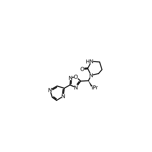 CC(C)[C@@H](c1nc(-c2cnccn2)no1)N1CCCNC1=O